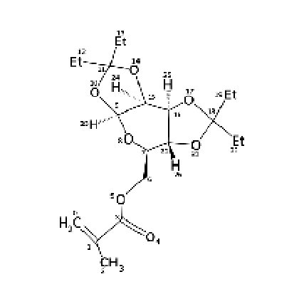 C=C(C)C(=O)OC[C@H]1O[C@H]2OC(CC)(CC)O[C@H]2[C@H]2OC(CC)(CC)O[C@@H]21